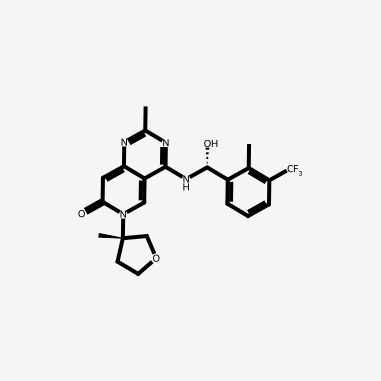 Cc1nc(N[C@H](O)c2cccc(C(F)(F)F)c2C)c2cn([C@@]3(C)CCOC3)c(=O)cc2n1